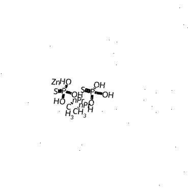 CCCC.CCCC.OP(O)(O)=S.OP(O)(O)=S.[Zn]